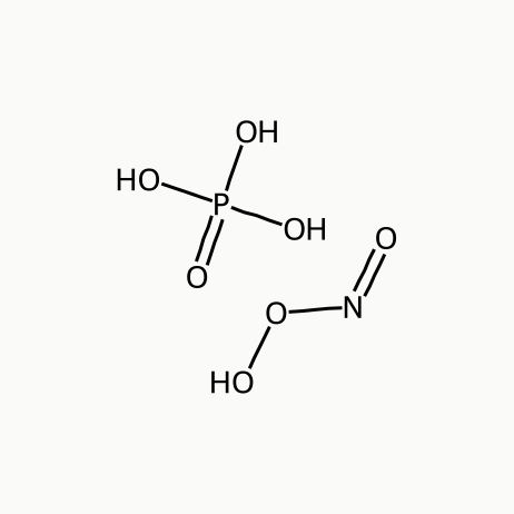 O=NOO.O=P(O)(O)O